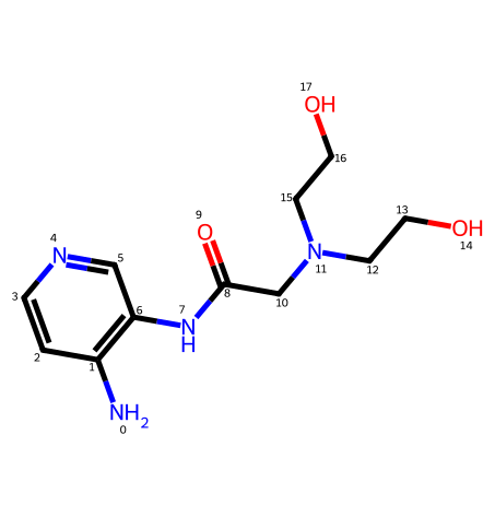 Nc1ccncc1NC(=O)CN(CCO)CCO